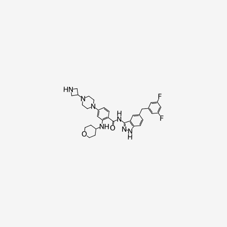 O=C(Nc1n[nH]c2ccc(Cc3cc(F)cc(F)c3)cc12)c1ccc(N2CCN(C3CNC3)CC2)cc1NC1CCOCC1